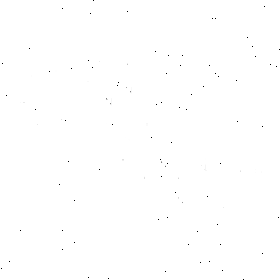 O=Cc1ccnc(N2CCC(C(=O)N3N=CC[C@H]3c3ccccc3)CC2)n1